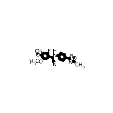 COc1cc(F)c(C(C#N)Nc2ccc(-c3noc(C)n3)cc2)cc1OC